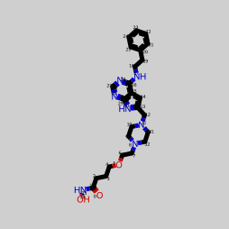 O=C(CCCOCCN1CCN(Cc2cc3c(NCCc4ccccc4)ncnc3[nH]2)CC1)NO